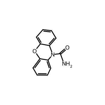 NC(=O)N1c2ccccc2Oc2ccccc21